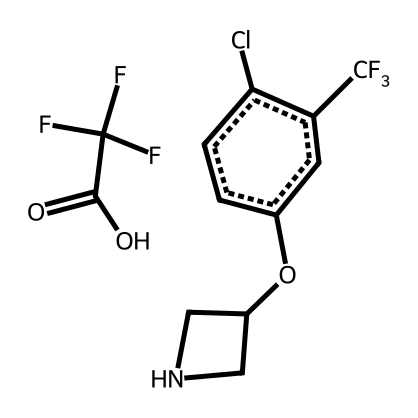 FC(F)(F)c1cc(OC2CNC2)ccc1Cl.O=C(O)C(F)(F)F